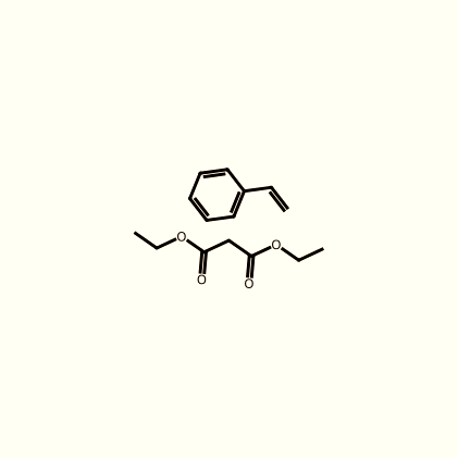 C=Cc1ccccc1.CCOC(=O)CC(=O)OCC